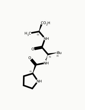 CC[C@H](C)[C@H](NC(=O)[C@@H]1CCCN1)C(=O)N[C@@H](C)C(=O)O